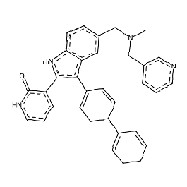 CN(Cc1cccnc1)Cc1ccc2[nH]c(-c3ccc[nH]c3=O)c(C3=CCC(C4=CCCC=C4)C=C3)c2c1